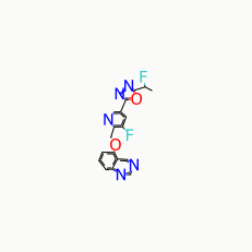 CC(F)c1nnc(-c2cnc(COc3cccc4ncncc34)c(F)c2)o1